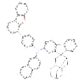 c1ccc2c(c1)-c1ccc(N(c3ccc(-c4cccc5c4oc4ccccc45)cc3)c3ccc4ccccc4c3)cc1C21CC2CCC3CC2CC1C3